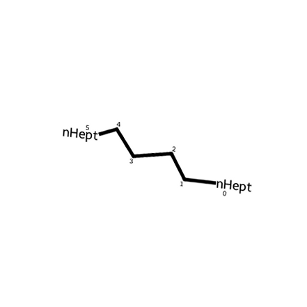 [CH2]CCCCCCCCCCCCCCCCC